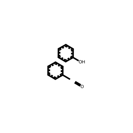 C=O.Cc1ccccc1.Oc1ccccc1